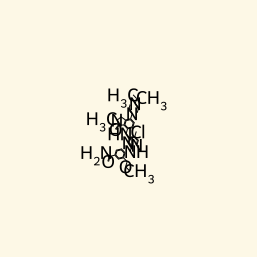 COCc1cc(C(N)=O)ccc1Nc1ncc(Cl)c(Nc2ccc(N3CCN(C(C)C)CC3)c3c2C(=O)N(C)C3)n1